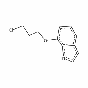 ClCCCOc1cccc2cc[nH]c12